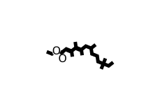 CCOC(=O)/C=C(C)/C(C)=C(\C)CC(C)CCCC(C)(C)CC